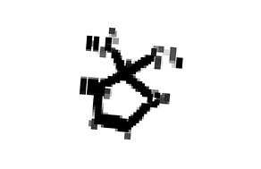 CC1(C)NC=CO1